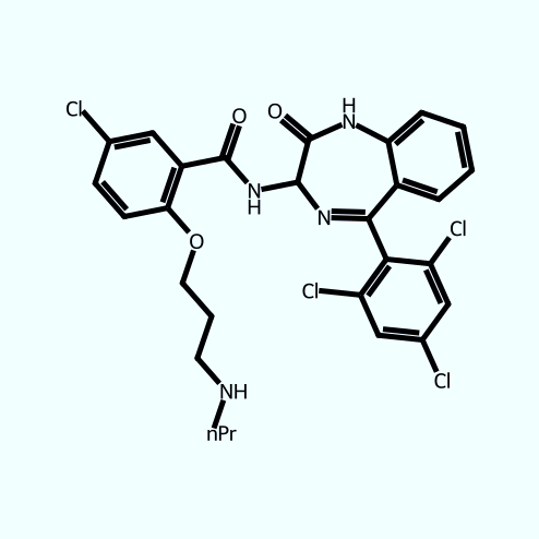 CCCNCCCOc1ccc(Cl)cc1C(=O)NC1N=C(c2c(Cl)cc(Cl)cc2Cl)c2ccccc2NC1=O